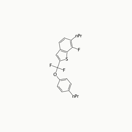 CCCc1ccc(OC(F)(F)c2cc3ccc(CCC)c(F)c3s2)cc1